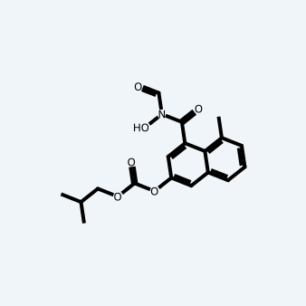 Cc1cccc2cc(OC(=O)OCC(C)C)cc(C(=O)N(O)C=O)c12